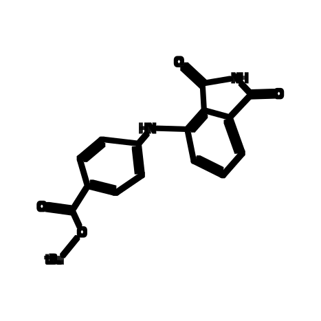 CC(C)(C)OC(=O)c1ccc(Nc2cccc3c2C(=O)NC3=O)cc1